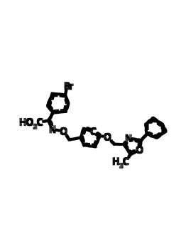 Cc1oc(-c2ccccc2)nc1COc1ccc(CO/N=C(/C(=O)O)c2ccc(Br)cc2)cc1